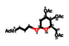 CC(=O)NCCCO[C@H]1C[C@@H](OC(C)=O)[C@@H](OC(C)=O)[C@@H](COC(C)=O)O1